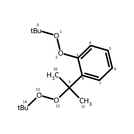 CC(C)(C)OOc1ccccc1C(C)(C)OOC(C)(C)C